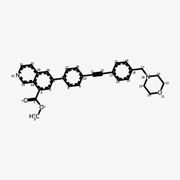 COC(=O)c1cc(-c2ccc(C#Cc3ccc(CN4CCOCC4)cc3)cc2)cc2ccncc12